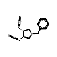 [N-]=[N+]=N[C@@H]1CN(Cc2ccccc2)C[C@H]1N=[N+]=[N-]